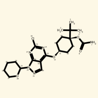 CC(C)(C)[C@]1(OC(N)=O)CC[C@@H](Oc2nc(Cl)nc3c2cnn3C2CCCCO2)CC1